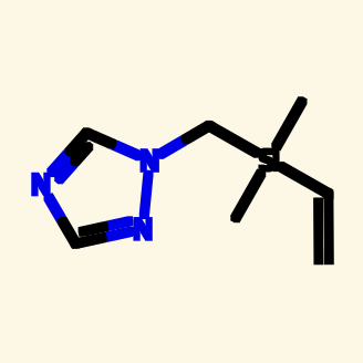 C=C[Si](C)(C)Cn1cncn1